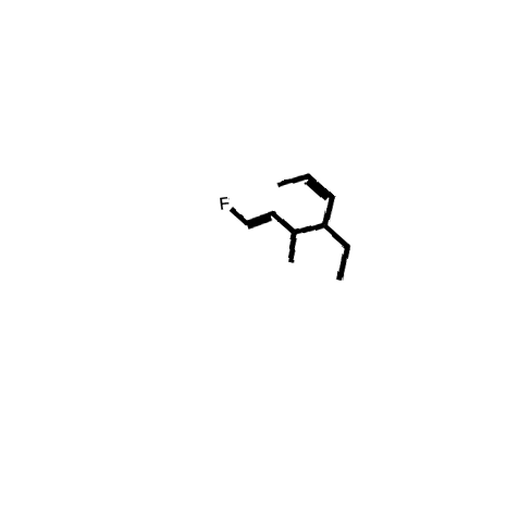 C/C=C\C(CC)C(C)/C=C/F